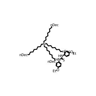 CCCCCCCCCCCCCCCCCC[N+](CCCCCCCCCCCCCCCCCC)(CCCCCCCCCCCCCCCCCC)CCCCCCCCCCCCCCCCCC.CCOc1ccc(NC(=S)Nc2ccc(OCC)cc2)cc1